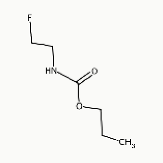 CCCOC(=O)NCCF